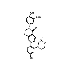 CC(=O)Nc1cc(N2CCc3cc(-c4ccc(C(C)(C)C)cc4N4CCO[C@@H](C)C4)ccc3C2=O)ccc1O